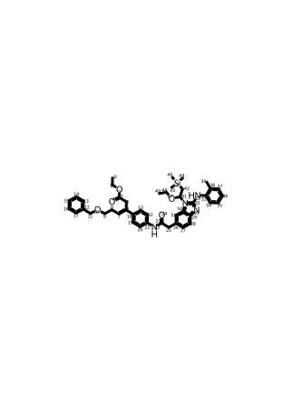 CCOC(=O)CC(=CCCOCc1ccccc1)c1ccc(NC(=O)Cc2ccc3nc(Nc4ccccc4C)n(C(C[Si](C)(C)C)OCC)c3c2)cc1